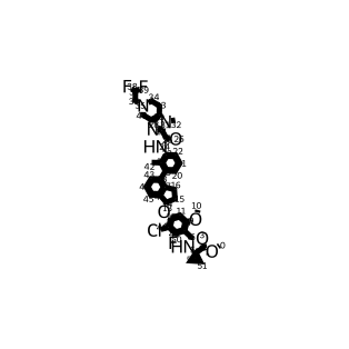 COC(=O)C1(NCc2c(OC)cc(OC3CCc4c(-c5cccc(NC(=O)c6nc7c(n6C)CCN(CC(F)F)C7)c5C)cccc43)c(Cl)c2F)CC1